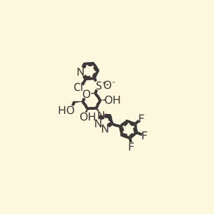 [O-][S@@+](c1cccnc1Cl)[C@H]1O[C@H](CO)[C@H](O)[C@H](n2cc(-c3cc(F)c(F)c(F)c3)nn2)[C@H]1O